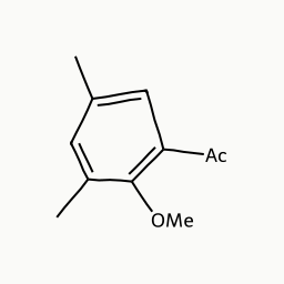 COc1c(C)cc(C)cc1C(C)=O